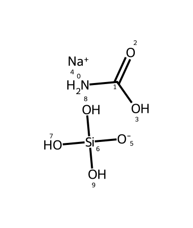 NC(=O)O.[Na+].[O-][Si](O)(O)O